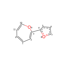 C1=CC=C(c2ccco2)OC=C1